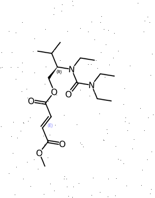 CCN(CC)C(=O)N(CC)[C@@H](COC(=O)/C=C/C(=O)OC)C(C)C